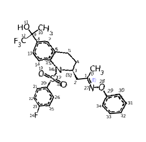 C/C(C[C@@H]1CCc2cc(C(C)(O)C(F)(F)F)ccc2N1S(=O)(=O)c1ccc(F)cc1)=N\Oc1ccccc1